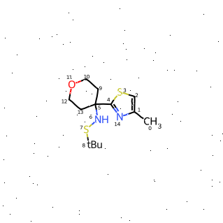 Cc1csc(C2(NSC(C)(C)C)CCOCC2)n1